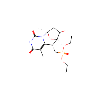 CCOP(=O)(C[C@H]1c2c(C)c(=O)[nH]c(=O)n2[C@H]2CC(O)[C@@H]1O2)OCC